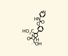 C[C@@H](O)[C@H]1C(=O)N2C(C(=O)O)=C(c3cccc(OC(=O)Nc4ccncc4)c3)C[C@H]12